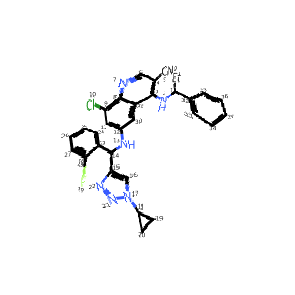 CCC(Nc1c(C#N)cnc2c(Cl)cc(NC(c3cn(C4CC4)nn3)c3ccccc3F)cc12)c1ccccc1